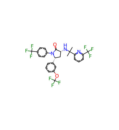 CC(C)(N[C@@H]1C[C@H](c2cccc(OC(F)(F)F)c2)N(c2ccc(C(F)(F)F)cc2)C1=O)c1cccc(C(F)(F)F)n1